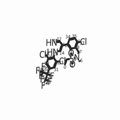 CCS(=O)(=O)N(C)Cc1cc(/C(C=N)=C/Nc2c(Cl)cc(C(F)(C(F)(F)F)C(F)(F)F)cc2Cl)ccc1Cl